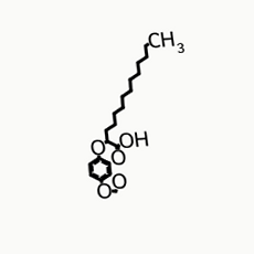 CCCCCCCCCCCCC(Oc1ccc2c(c1)OCO2)C(=O)O